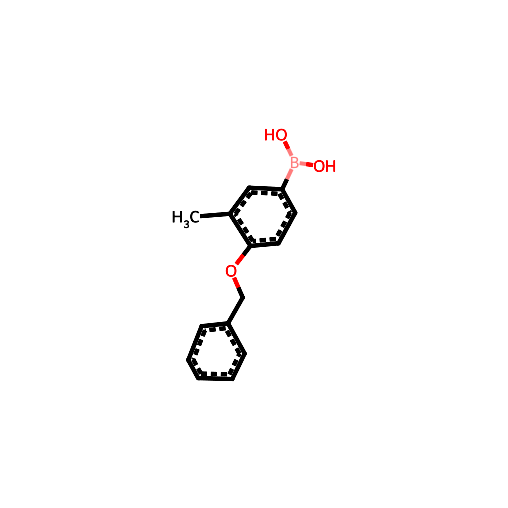 Cc1cc(B(O)O)ccc1OCc1ccccc1